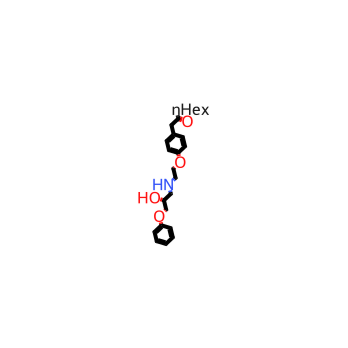 CCCCCCC(=O)Cc1ccc(OCCNCC(O)COc2ccccc2)cc1